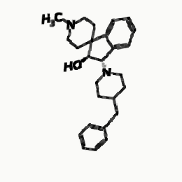 CN1CCC2(CC1)c1ccccc1[C@H](N1CCC(Cc3ccccc3)CC1)[C@H]2O